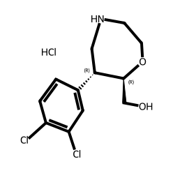 Cl.OC[C@@H]1OCCNC[C@H]1c1ccc(Cl)c(Cl)c1